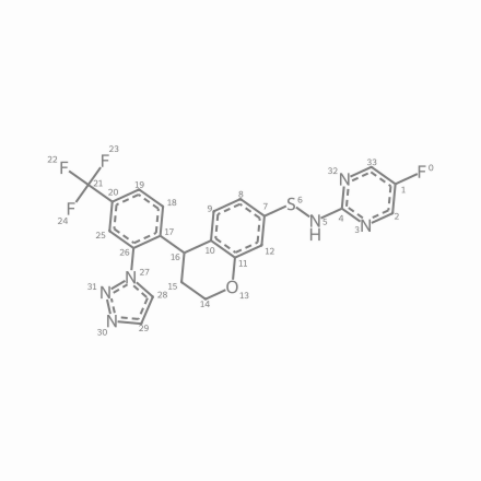 Fc1cnc(NSc2ccc3c(c2)OCCC3c2ccc(C(F)(F)F)cc2-n2ccnn2)nc1